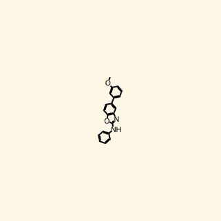 COc1cccc(-c2ccc3oc(Nc4ccccc4)nc3c2)c1